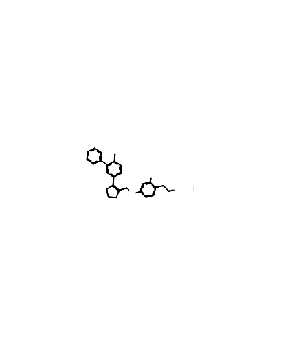 Cc1ccc(C2=C(COc3ccc(CCC(=O)O)c(C(F)(F)F)c3)CCC2)cc1-c1ccccc1